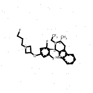 C[C@@H]1Cc2c([nH]c3ccccc23)[C@@H](c2c(F)cc(OC3CN(CCCF)C3)cc2F)N1CC(F)(F)F